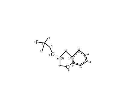 CC(C)(F)CO[C@H]1COc2ccccc2C1